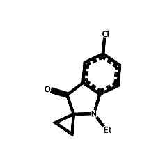 CCN1c2ccc(Cl)cc2C(=O)C12CC2